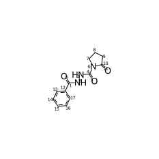 O=C(NNC(=O)N1CCCC1=O)c1ccccc1